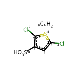 O=S(=O)(O)c1cc(Cl)sc1Cl.[CaH2]